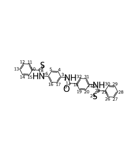 O=C(Nc1ccc(NC(=S)c2ccccc2)cc1)c1ccc(NC(=S)c2ccccc2)cc1